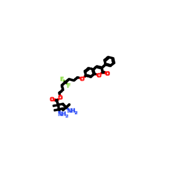 CC(C)(N)CC(C)(C(=O)OCCCC(F)(F)CCCOc1ccc2cc(-c3ccccc3)c(=O)oc2c1)C(C)(C)N